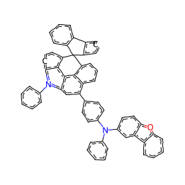 c1ccc(N(c2ccc(-c3cc4c5c6c(cccc36)C3(c6ccccc6-c6ccccc63)c3cccc(c35)n4-c3ccccc3)cc2)c2ccc3oc4ccccc4c3c2)cc1